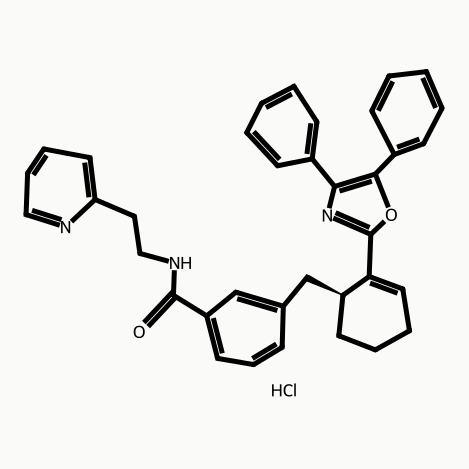 Cl.O=C(NCCc1ccccn1)c1cccc(C[C@@H]2CCCC=C2c2nc(-c3ccccc3)c(-c3ccccc3)o2)c1